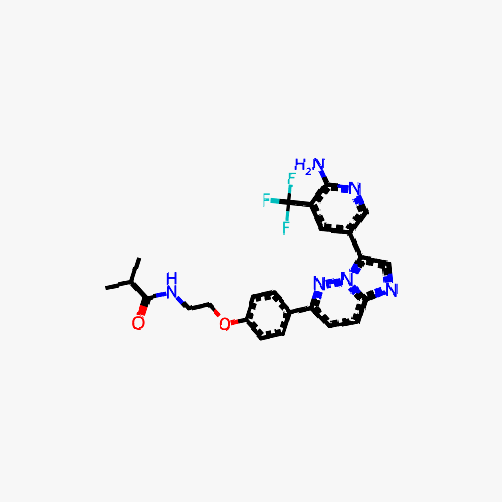 CC(C)C(=O)NCCOc1ccc(-c2ccc3ncc(-c4cnc(N)c(C(F)(F)F)c4)n3n2)cc1